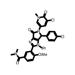 COc1ccc(C(=O)N(C)C)cc1-c1nc2c(n1C(C)C)C(c1ccc(Cl)cc1)N(c1cc(Cl)c(=O)n(C)c1)C2=O